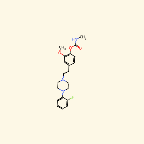 CNC(=O)Oc1ccc(CCN2CCN(c3ccccc3F)CC2)cc1OC